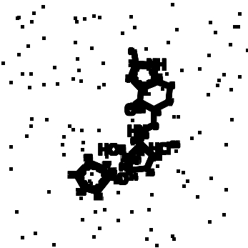 Cc1cc2c([nH]1)CCC(CN[C@@H]1CC[C@@H](Oc3ccccc3)[C@@H]1O)C2=O.Cl